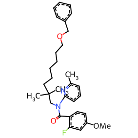 COc1ccc(C(=O)N(CC(C)(C)CCCCCCOCc2ccccc2)c2cccc(C)n2)c(F)c1